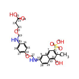 Cc1c(S(=O)(=O)O)cc2cc(NCOc3ccc(NCOCCC(=O)O)cc3)ccc2c1O